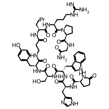 CC(C)C[C@H](NC(=O)CCNC(=O)[C@H](Cc1ccc(O)cc1)NC(=O)[C@H](CO)NC(=O)[C@H](Cc1c[nH]c2ccccc12)NC(=O)[C@H](Cc1c[nH]cn1)NC(=O)[C@@H]1CCC(=O)N1)C(=O)N[C@@H](CCCNC(=N)N)C(=O)N1CCC[C@H]1C(=O)NCC(N)=O